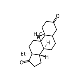 CC[C@]12CC[C@H]3[C@@H](CCC4CC(=O)CC[C@@]43C)[C@@H]1CCC2=O